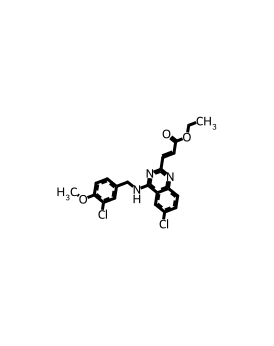 CCOC(=O)C=Cc1nc(NCc2ccc(OC)c(Cl)c2)c2cc(Cl)ccc2n1